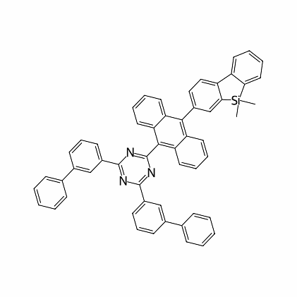 C[Si]1(C)c2ccccc2-c2ccc(-c3c4ccccc4c(-c4nc(-c5cccc(-c6ccccc6)c5)nc(-c5cccc(-c6ccccc6)c5)n4)c4ccccc34)cc21